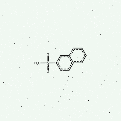 CS(=O)(=O)c1ccc2ccccc2c1